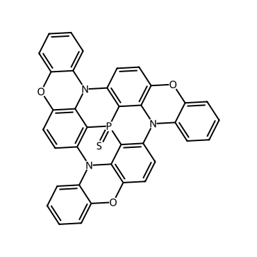 S=P12c3c4ccc5c3N(c3ccccc3O5)c3ccc5c(c31)N(c1ccccc1O5)c1ccc3c(c12)N4c1ccccc1O3